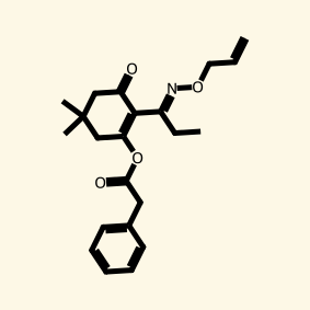 C=CCON=C(CC)C1=C(OC(=O)Cc2ccccc2)CC(C)(C)CC1=O